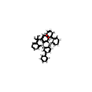 CC1(C)c2ccccc2N2c3cc(-c4ccccc4)ccc3N(c3ccccc3-c3ccccc3)c3cccc1c32